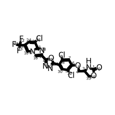 O=C1NC(COc2cc(Cl)c(-c3nnc(-c4cn5cc(C(F)(F)F)cc(Cl)c5n4)o3)cc2Cl)CO1